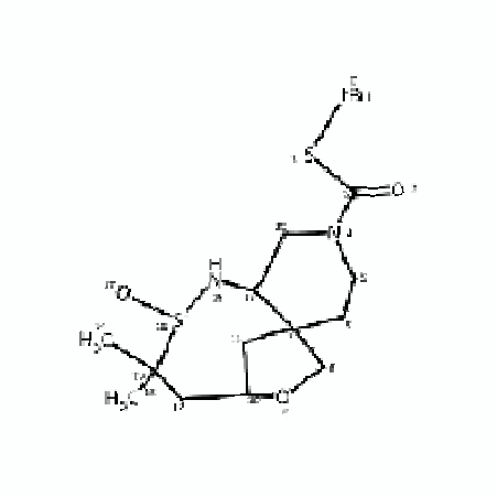 CC(C)(C)SC(=O)N1CCC23COC(C2)CC(C)(C)[S+]([O-])NC3C1